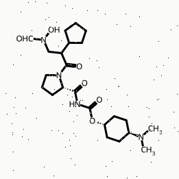 CN(C)[C@H]1CC[C@H](OC(=O)NC(=O)[C@@H]2CCCN2C(=O)C(CN(O)C=O)C2CCCC2)CC1